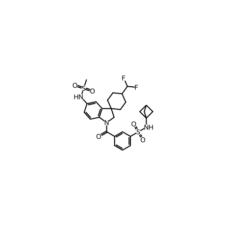 CS(=O)(=O)Nc1ccc2c(c1)C1(CCC(C(F)F)CC1)CN2C(=O)c1cccc(S(=O)(=O)NC23CC(C2)C3)c1